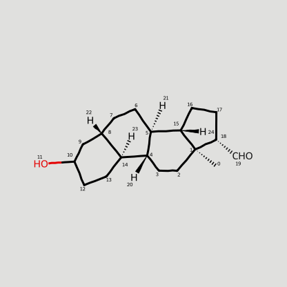 C[C@]12CC[C@H]3[C@@H](CC[C@H]4CC(O)CC[C@@H]43)[C@@H]1CC[C@@H]2C=O